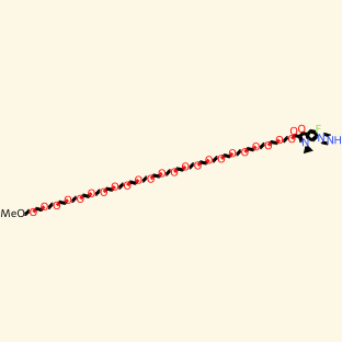 COCCOCCOCCOCCOCCOCCOCCOCCOCCOCCOCCOCCOCCOCCOCCOCCOCCOCCOCCOCCOCCOCCOCCOC(=O)c1cn(C2CC2)c2cc(N3CCNCC3)c(F)cc2c1=O